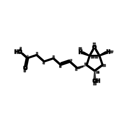 O=C(O)CCC/C=C/C[C@@H]1[C@@H]2O[C@@H]2C[C@@H]1O